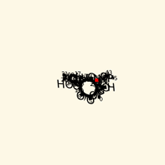 CC[C@@H]1OC(=O)[C@H](C)C(=O)[C@H](C)[C@@H](OC2O[C@H](C)C[C@H](N(C)C)[C@H]2O)[C@](C)(OC)C[C@@H](C)C(=O)[C@H](C)[C@H]2[C@H](/C(N)=N/O[C@@H](C)PC)C(=O)O[C@@]21C